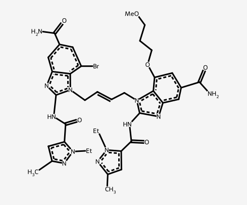 CCn1nc(C)cc1C(=O)Nc1nc2cc(C(N)=O)cc(Br)c2n1CC=CCn1c(NC(=O)c2cc(C)nn2CC)nc2cc(C(N)=O)cc(OCCCOC)c21